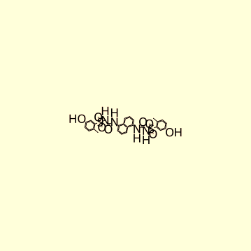 Cc1ccc(O)cc1S(=O)(=O)NC(=O)Nc1cccc2c(NC(=O)NS(=O)(=O)c3cc(O)ccc3C)cccc12